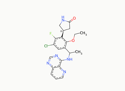 CCOc1c(C(C)Nc2ncnc3cccnc23)cc(Cl)c(F)c1[C@H]1CNC(=O)C1